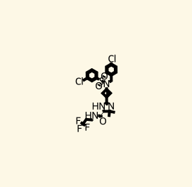 CC1(C)N=C(C23CC(N(Cc4ccc(Cl)cc4)S(=O)(=O)c4cccc(Cl)c4)(C2)C3)N[C@H]1C(=O)NCCC(F)(F)F